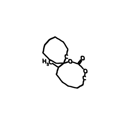 CC1CCCCCCOC(=O)OC12CCCCCCCCC2